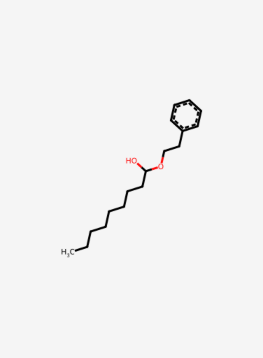 CCCCCCCCC(O)OCCc1ccccc1